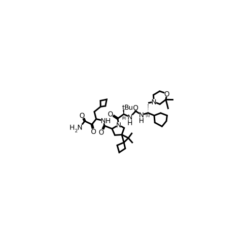 CC1(C)CN(C[C@@H](NC(=O)N[C@@H](C(=O)N2CC3(CC2C(=O)NC(CC2CCC2)C(=O)C(N)=O)C(C)(C)C32CCC2)C(C)(C)C)C2CCCCC2)CCO1